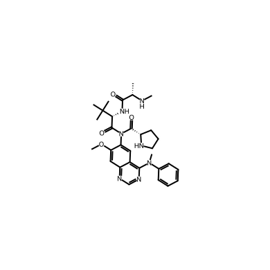 CN[C@@H](C)C(=O)N[C@H](C(=O)N(C(=O)[C@@H]1CCCN1)c1cc2c(N(C)c3ccccc3)ncnc2cc1OC)C(C)(C)C